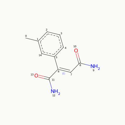 Cc1cccc(/C(=C\C(N)=O)C(N)=O)c1